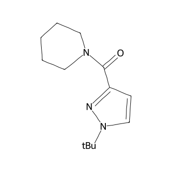 CC(C)(C)n1ccc(C(=O)N2CCCCC2)n1